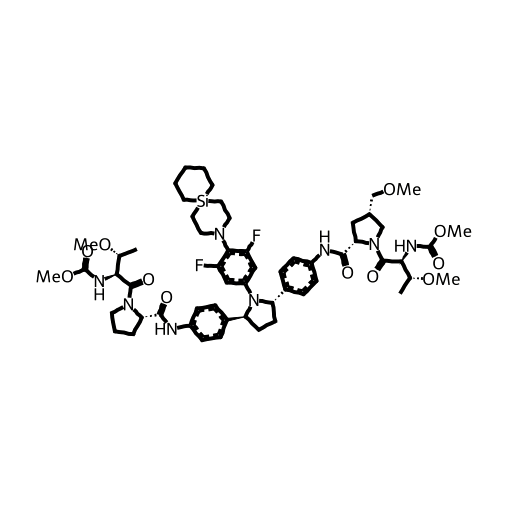 COC[C@H]1C[C@@H](C(=O)Nc2ccc([C@@H]3CC[C@@H](c4ccc(NC(=O)[C@@H]5CCCN5C(=O)[C@@H](NC(=O)OC)[C@@H](C)OC)cc4)N3c3cc(F)c(N4CC[Si]5(CCCCC5)CC4)c(F)c3)cc2)N(C(=O)[C@@H](NC(=O)OC)[C@@H](C)OC)C1